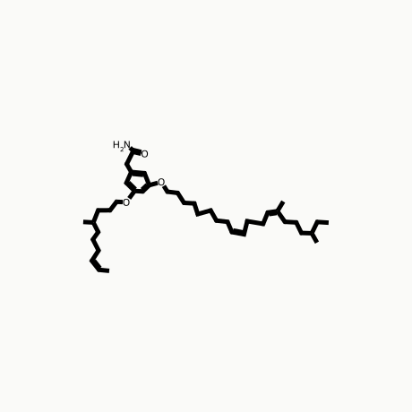 C/C=C\CCCC(C)CCCOc1cc(CC(N)=O)cc(OCCCCCCCC/C=C\CC/C=C(/C)CCCC(C)CC)c1